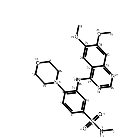 CNS(=O)(=O)c1ccc(N2CCOCC2)c(Nc2ncnc3cc(OC)c(OC)cc23)c1